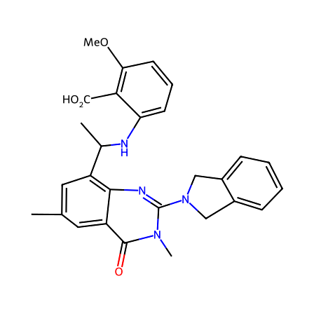 COc1cccc(NC(C)c2cc(C)cc3c(=O)n(C)c(N4Cc5ccccc5C4)nc23)c1C(=O)O